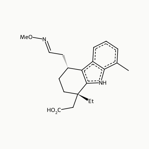 CC[C@@]1(CC(=O)O)CC[C@H](CC=NOC)c2c1[nH]c1c(C)cccc21